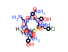 C[C@@H](O)[C@@H]1NC(=O)[C@H](CCCCN)NC(=O)[C@@H](Cc2ccc(C(N)=O)cc2)NC(=O)[C@H](Cc2ccc(O)cc2)NC(=O)[C@H](NC(=O)[C@@H](N)Cc2ccc(Cl)cc2)CSSC[C@@H](C(=O)N[C@H](Cc2ccc(O)cc2)C(N)=O)N(C)C1=O